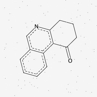 O=C1CCCc2ncc3ccccc3c21